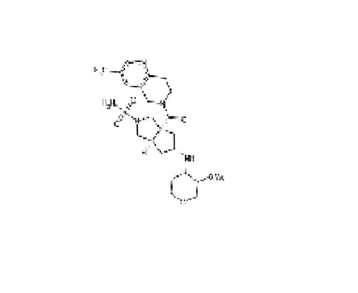 COC1COCCC1N[C@@H]1C[C@H]2CN(S(N)(=O)=O)C[C@@]2(C(=O)N2CCc3ncc(C(F)(F)F)cc3C2)C1